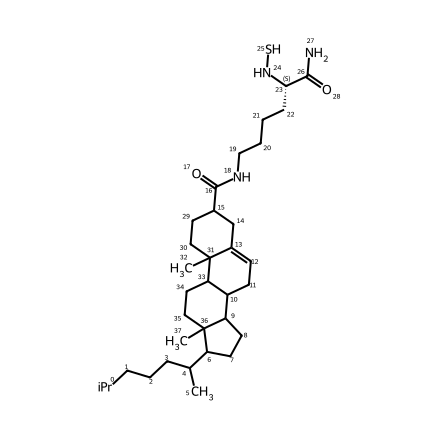 CC(C)CCCC(C)C1CCC2C3CC=C4CC(C(=O)NCCCC[C@H](NS)C(N)=O)CCC4(C)C3CCC12C